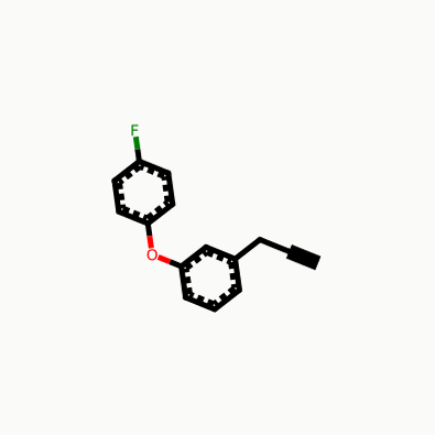 C#CCc1cccc(Oc2ccc(F)cc2)c1